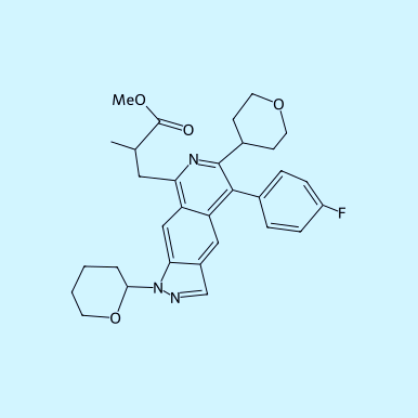 COC(=O)C(C)Cc1nc(C2CCOCC2)c(-c2ccc(F)cc2)c2cc3cnn(C4CCCCO4)c3cc12